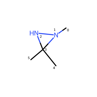 CN1NC1(C)C